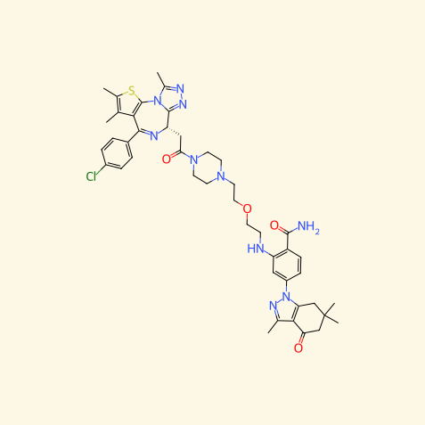 Cc1nn(-c2ccc(C(N)=O)c(NCCOCCN3CCN(C(=O)C[C@@H]4N=C(c5ccc(Cl)cc5)c5c(sc(C)c5C)-n5c(C)nnc54)CC3)c2)c2c1C(=O)CC(C)(C)C2